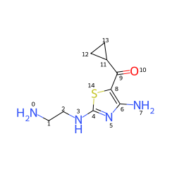 NCCNc1nc(N)c(C(=O)C2CC2)s1